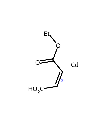 CCOC(=O)/C=C\C(=O)O.[Cd]